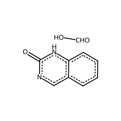 O=CO.O=c1ncc2ccccc2[nH]1